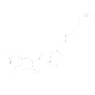 Cc1cc(Cl)cc2c1O[C@H](C(F)(F)F)C(C(=O)OC(C)OC(=O)OCCSCCO[N+](=O)[O-])=C2